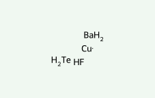 F.[BaH2].[Cu].[TeH2]